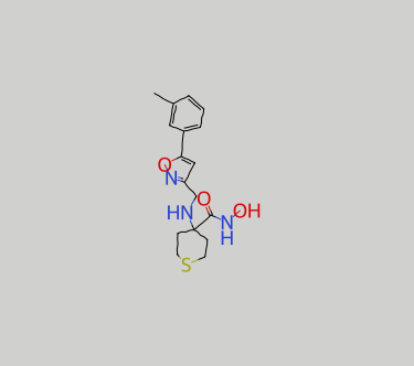 Cc1cccc(-c2cc(CNC3(C(=O)NO)CCSCC3)no2)c1